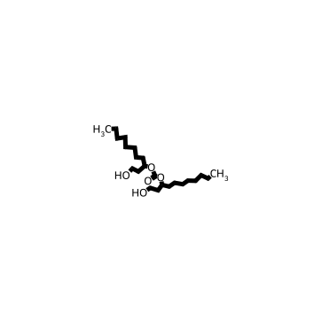 CCCCCCCCC(CCO)OC(=O)OC(CCO)CCCCCCCC